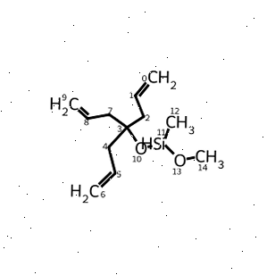 C=CCC(CC=C)(CC=C)O[SiH](C)OC